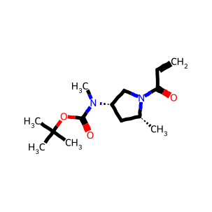 C=CC(=O)N1C[C@@H](N(C)C(=O)OC(C)(C)C)C[C@H]1C